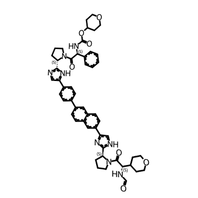 O=CN[C@H](C(=O)N1CCC[C@H]1c1nc(-c2ccc3cc(-c4ccc(-c5cnc([C@@H]6CCCN6C(=O)[C@@H](NC(=O)OC6CCOCC6)c6ccccc6)[nH]5)cc4)ccc3c2)c[nH]1)C1CCOCC1